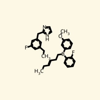 CCC=CCCB(c1cccc(OC)c1)c1ccccc1F.CCc1cc(F)cc(Cc2ncc[nH]2)c1